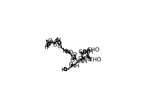 C#C[C@H]1CC(F)(F)CN1C(=O)CNC(=O)c1ccnc2ccc(OCCCCN3CCN(C(=O)CCCN4C(=O)CC(SCC(CCCCNC(=O)CCCc5ccc(I)cc5)NC(=O)CN5CCN(COC=O)CCN(COC=O)CCN(CC(=O)O)CC5)C4=O)CC3)cc12